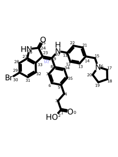 O=C(O)CCc1ccc(/C(Nc2ccc(CN3CCCC3)cc2)=C2/C(=O)Nc3cc(Br)ccc32)cc1